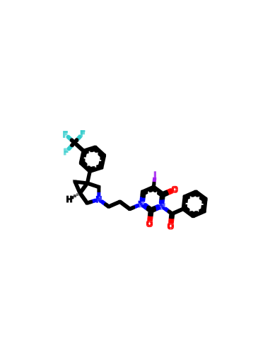 O=C(c1ccccc1)n1c(=O)c(I)cn(CCCN2C[C@H]3CC3(c3cccc(C(F)(F)F)c3)C2)c1=O